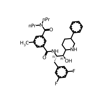 CCCN(CCC)C(=O)c1cc(C)cc(C(=O)N[C@@H](Cc2cc(F)cc(F)c2)[C@H](O)C2CCC(c3ccccc3)CN2)c1